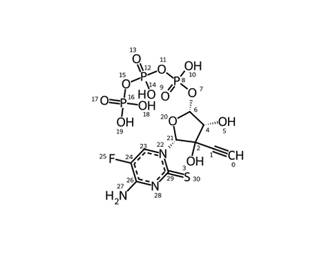 C#CC1(O)[C@@H](O)[C@@H](OP(=O)(O)OP(=O)(O)OP(=O)(O)O)O[C@H]1n1cc(F)c(N)nc1=S